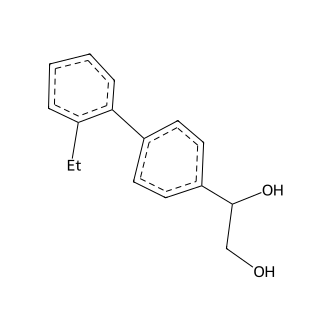 CCc1ccccc1-c1ccc(C(O)CO)cc1